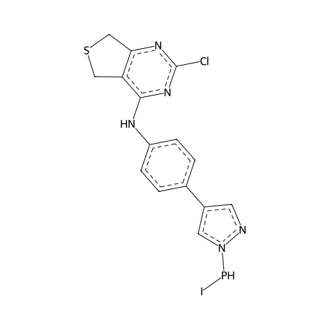 Clc1nc2c(c(Nc3ccc(-c4cnn(PI)c4)cc3)n1)CSC2